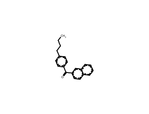 CCCCc1ccc(C(=O)c2ccc3ccccc3c2)cc1